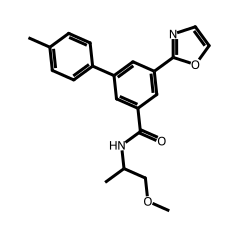 COCC(C)NC(=O)c1cc(-c2ccc(C)cc2)cc(-c2ncco2)c1